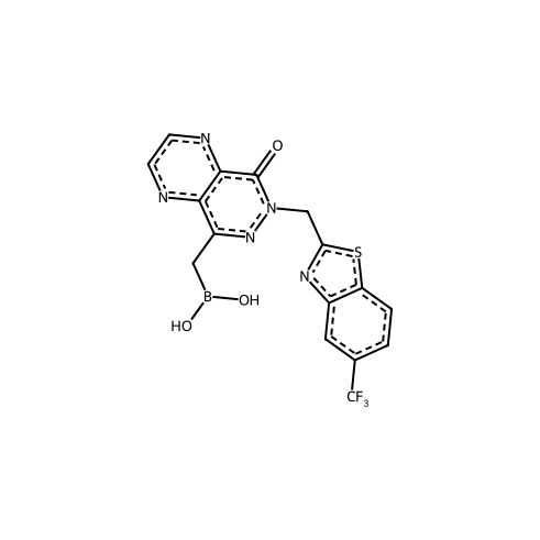 O=c1c2nccnc2c(CB(O)O)nn1Cc1nc2cc(C(F)(F)F)ccc2s1